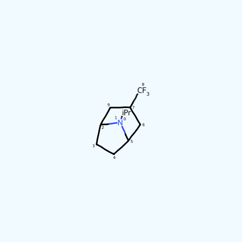 CC(C)N1C2CCC1CC(C(F)(F)F)C2